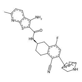 Cc1ccc2c(N)c(C(=O)N[C@@H]3CCc4c(C#N)c(N5CC6COCC5CN6)cc(F)c4C3)sc2n1